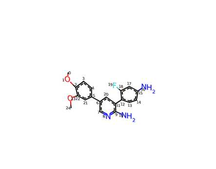 COc1ccc(-c2cnc(N)c(-c3ccc(N)cc3F)c2)cc1OC